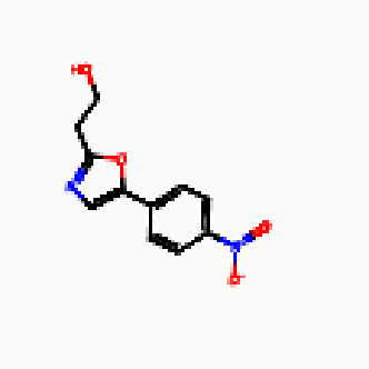 O=[N+]([O-])c1ccc(-c2cnc(CCO)o2)cc1